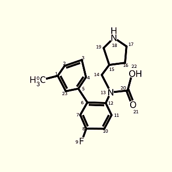 Cc1cccc(-c2cc(F)ccc2N(CC2CCNC2)C(=O)O)c1